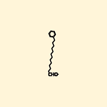 O=[C]CCCCCCCCCCCCc1ccccc1